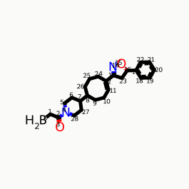 BCC(=O)N1CCC(C2CC/C=C(/C3=NOC(c4ccccc4)C3)CCC2)CC1